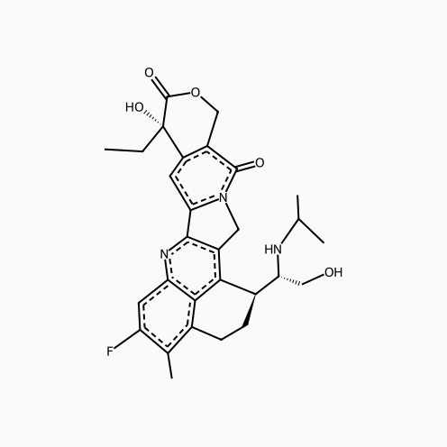 CC[C@@]1(O)C(=O)OCc2c1cc1n(c2=O)Cc2c-1nc1cc(F)c(C)c3c1c2[C@@H]([C@@H](CO)NC(C)C)CC3